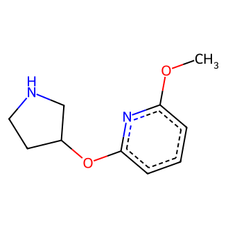 COc1cccc(OC2CCNC2)n1